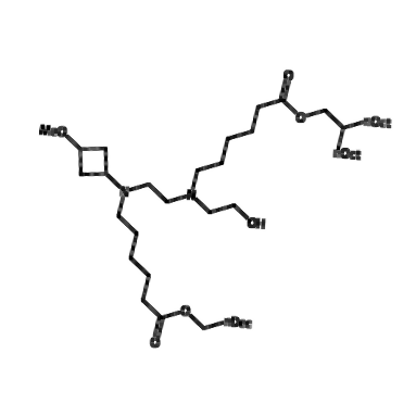 CCCCCCCCCCCOC(=O)CCCCCN(CCN(CCO)CCCCCC(=O)OCC(CCCCCCCC)CCCCCCCC)C1CC(OC)C1